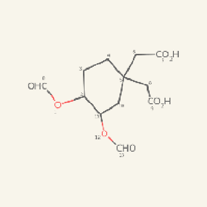 O=COC1CCC(CC(=O)O)(CC(=O)O)CC1OC=O